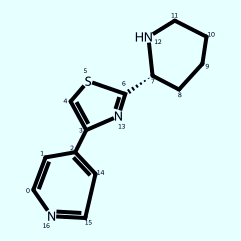 c1cc(-c2csc([C@H]3CCCCN3)n2)ccn1